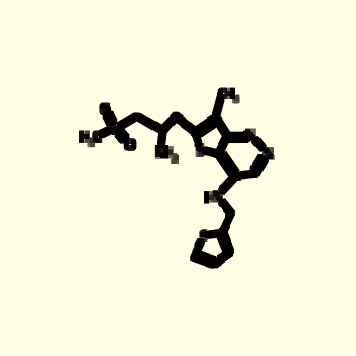 Cc1c(CC(N)CS(C)(=O)=O)sc2c(NCc3cccs3)cnnc12